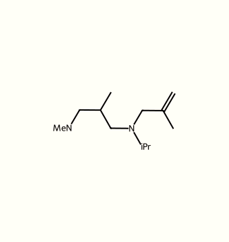 C=C(C)CN(CC(C)CNC)C(C)C